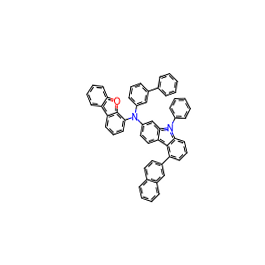 c1ccc(-c2cccc(N(c3ccc4c5c(-c6ccc7ccccc7c6)cccc5n(-c5ccccc5)c4c3)c3cccc4c3oc3ccccc34)c2)cc1